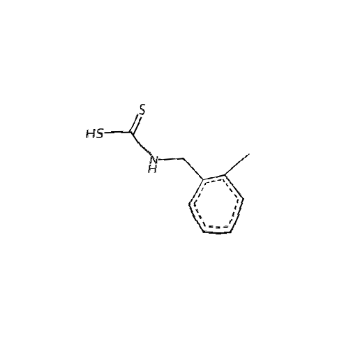 Cc1ccccc1CNC(=S)S